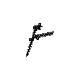 CCCCCCCCCCCCCC(=O)OCC(CCCCCOC(=O)C(C)(COC)COC(C)=O)COC(=O)CCCCCCCCCCCCC